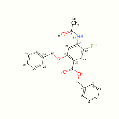 O=C(OCc1ccccc1)c1cc(F)c(NC(=O)C(F)(F)F)cc1OCc1ccccc1